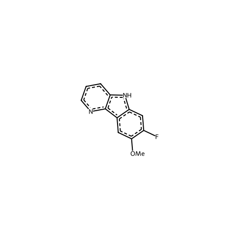 COc1cc2c(cc1F)[nH]c1cccnc12